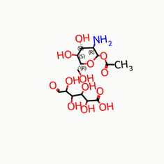 CC(=O)OC1O[C@H](CO)[C@@H](O)[C@H](O)[C@H]1N.O=CC(O)C(O)C(O)C(O)C(=O)O